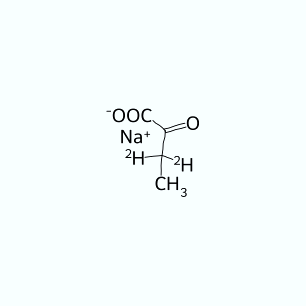 [2H]C([2H])(C)C(=O)C(=O)[O-].[Na+]